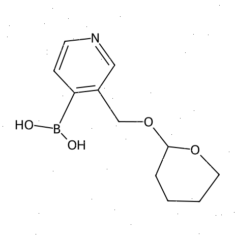 OB(O)c1ccncc1COC1CCCCO1